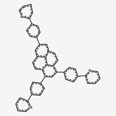 c1ccc(-c2ccc(-c3cc4ccc5c(-c6ccc(-c7ccccn7)cc6)cc(-c6ccc(-c7ccccn7)cc6)c6ccc(c3)c4c56)cc2)nc1